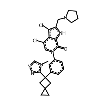 Cn1cnnc1C1(c2cccc(-n3cc(Cl)c4c(Cl)c(CN5CCCC5)[nH]c4c3=O)c2)CC2(CC2)C1